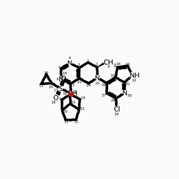 C[C@@H]1Cc2ncnc(N3CC4CCC(C3)C4NS(=O)(=O)C3CC3)c2CN1c1cc(Cl)nc2[nH]ccc12